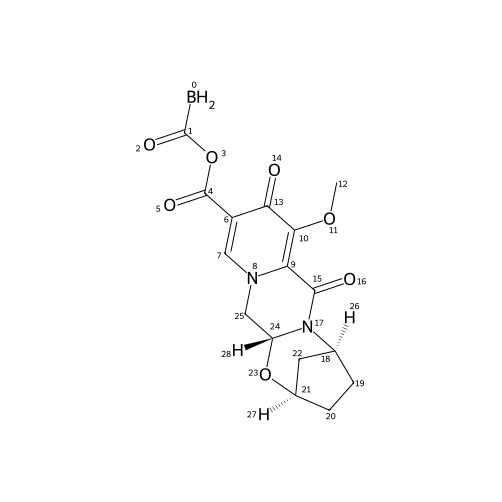 BC(=O)OC(=O)c1cn2c(c(OC)c1=O)C(=O)N1[C@H]3CC[C@H](C3)O[C@@H]1C2